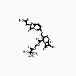 CC(C)(C)C(=O)OCOC(=O)C1=C(CSc2ccc3nn(CC(=O)O)c(=O)n3n2)CS[C@H]2C(N)C(=O)N12